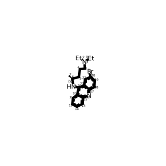 CCN(CC)CCC[C@H](C)Nc1c2ccccc2nc2ccc(Br)cc12